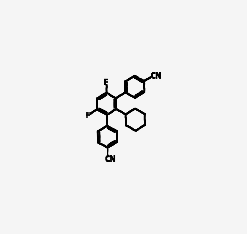 N#Cc1ccc(-c2c(F)cc(F)c(-c3ccc(C#N)cc3)c2C2CCCCC2)cc1